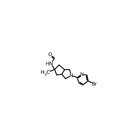 CC1(NC=O)CC2CN(c3ccc(Br)cn3)CC2C1